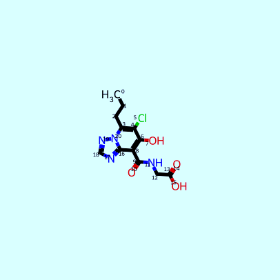 CCCc1c(Cl)c(O)c(C(=O)NCC(=O)O)c2ncnn12